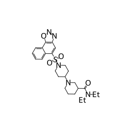 CCN(CC)C(=O)C1CCCN(C2CCN(S(=O)(=O)c3cc4nnoc4c4ccccc34)CC2)C1